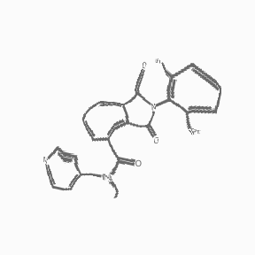 CC(C)c1cccc(C(C)C)c1N1C(=O)c2cccc(C(=O)N(C)c3ccncc3)c2C1=O